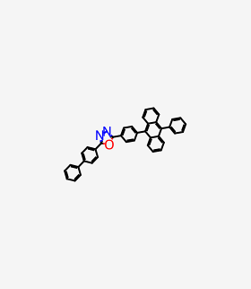 c1ccc(-c2ccc(-c3nnc(-c4ccc(-c5c6ccccc6c(-c6ccccc6)c6ccccc56)cc4)o3)cc2)cc1